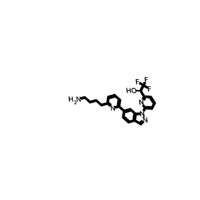 NCCCCc1cccc(-c2ccc3cnn(-c4cccc([C@@H](O)C(F)(F)F)n4)c3c2)n1